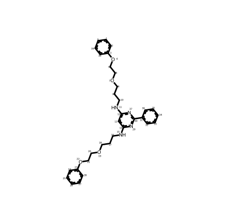 c1ccc(OCCOCCCNc2cc(NCCCOCCOc3ccccc3)nc(-c3ccccc3)n2)cc1